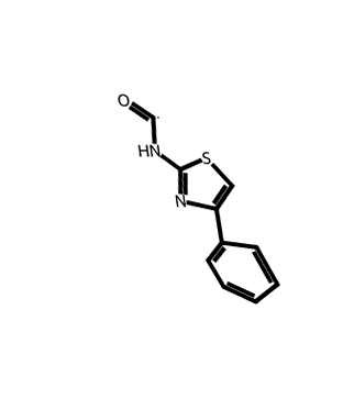 O=[C]Nc1nc(-c2ccccc2)cs1